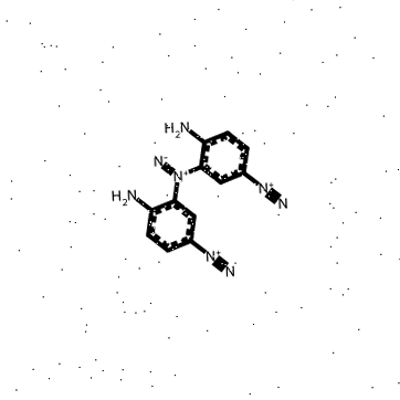 N#[N+]c1ccc(N)c([N+](=[N-])c2cc([N+]#N)ccc2N)c1